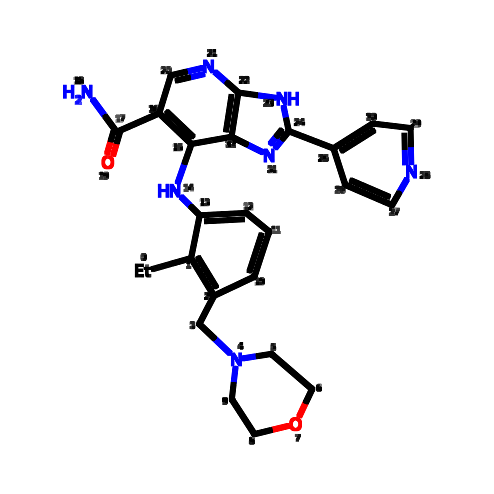 CCc1c(CN2CCOCC2)cccc1Nc1c(C(N)=O)cnc2[nH]c(-c3ccncc3)nc12